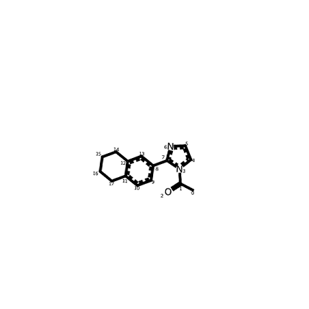 CC(=O)n1ccnc1-c1ccc2c(c1)CCCC2